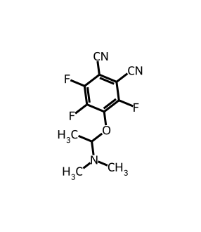 CC(Oc1c(F)c(F)c(C#N)c(C#N)c1F)N(C)C